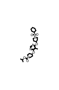 Cc1c(OC2CCN(C(=O)OC(C)C)CC2)ncnc1OC1CCN(S(=O)(=O)C2CCCCC2)CC1